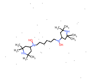 CC1(C)CC(N(O)CCCCCCN(O)C2CC(C)(C)NC(C)(C)C2)CC(C)(C)N1